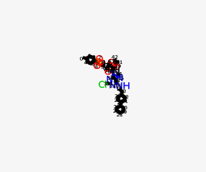 Cc1ccc(S(=O)(=O)OC[C@H]2O[C@@H](n3cnc4c(NCCc5ccc(-c6ccccc6)cc5)nc(Cl)nc43)[C@@H]3OC(C)(C)O[C@@H]32)cc1